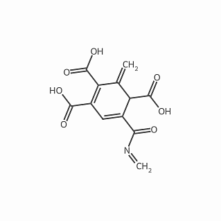 C=NC(=O)C1=CC(C(=O)O)=C(C(=O)O)C(=C)C1C(=O)O